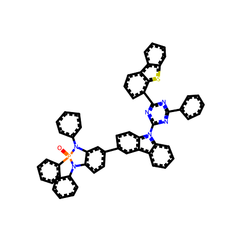 O=P1(c2ccccc2)N(c2ccccc2)c2ccc(-c3ccc4c(c3)c3ccccc3n4-c3nc(-c4ccccc4)nc(-c4cccc5c4sc4ccccc45)n3)cc2N1c1ccccc1